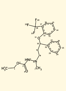 CCOC(=O)NN(C)CCC(Oc1ccccc1C(F)(F)F)c1ccccc1